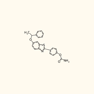 CC(Oc1ccc2nc(-c3ccc(OC(N)=O)cc3)sc2c1)c1ccccc1